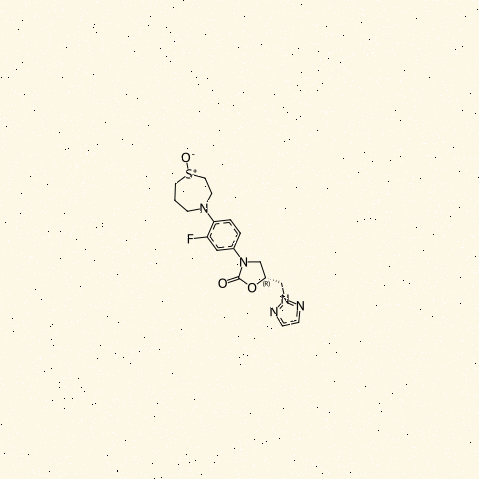 O=C1O[C@@H](Cn2nccn2)CN1c1ccc(N2CCC[S+]([O-])CC2)c(F)c1